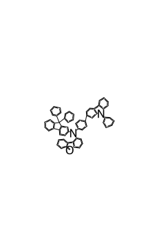 c1ccc(-n2c3ccccc3c3ccc(-c4ccc(N(c5ccc6c(c5)C(c5ccccc5)(c5ccccc5)c5ccccc5-6)c5cccc6oc7ccccc7c56)cc4)cc32)cc1